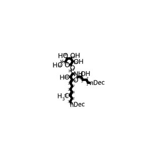 CCCCCCCCCCCCC[C@@H](O)C(=O)N[C@@H](CO[C@@H]1O[C@H](CO)[C@@H](O)[C@H](O)[C@H]1O)[C@H](O)/C=C/CC/C=C(\C)CCCCCCCCCCCC